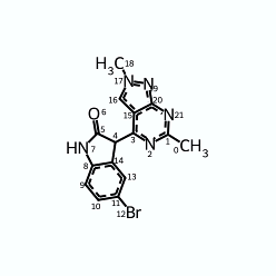 Cc1nc(C2C(=O)Nc3ccc(Br)cc32)c2cn(C)nc2n1